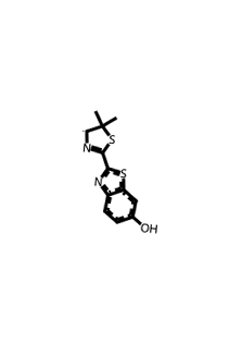 CC1(C)[CH]N=C(c2nc3ccc(O)cc3s2)S1